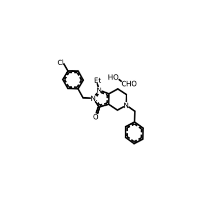 CCn1c2c(c(=O)n1Cc1ccc(Cl)cc1)CN(Cc1ccccc1)CC2.O=CO